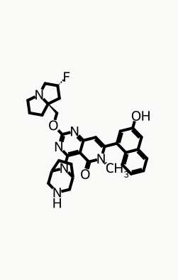 Cn1c(-c2cc(O)cc3ccccc23)cc2nc(OC[C@@]34CCCN3C[C@H](F)C4)nc(N3C4CCC3CNC4)c2c1=O